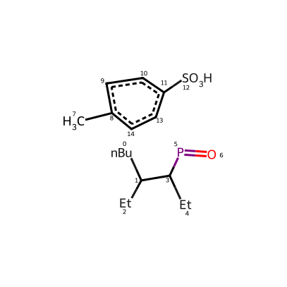 CCCCC(CC)C(CC)P=O.Cc1ccc(S(=O)(=O)O)cc1